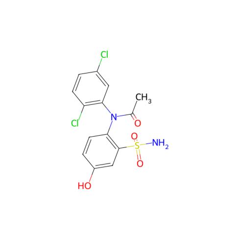 CC(=O)N(c1cc(Cl)ccc1Cl)c1ccc(O)cc1S(N)(=O)=O